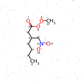 CCCCC(CC(=O)OOC)C[N+](=O)[O-]